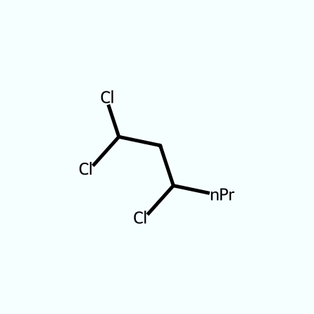 CCCC(Cl)CC(Cl)Cl